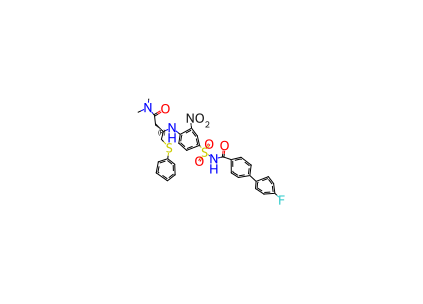 CN(C)C(=O)C[C@H](CSc1ccccc1)Nc1ccc(S(=O)(=O)NC(=O)c2ccc(-c3ccc(F)cc3)cc2)cc1[N+](=O)[O-]